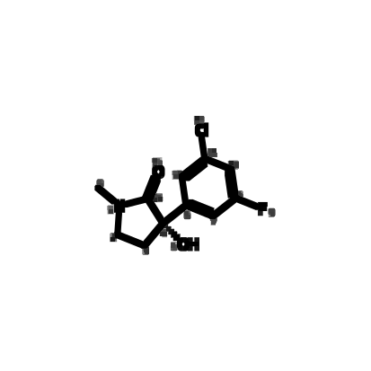 CN1CC[C@](O)(c2cc(F)cc(Cl)c2)C1=O